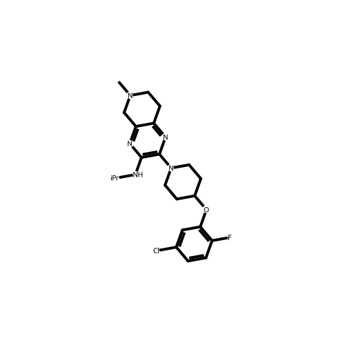 CC(C)Nc1nc2c(nc1N1CCC(Oc3cc(Cl)ccc3F)CC1)CCN(C)C2